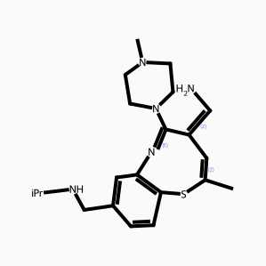 C/C1=C/C(=C/N)C(/N2CCN(C)CC2)=N\c2cc(CNC(C)C)ccc2S1